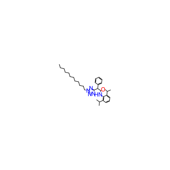 CCCCCCCCCCCCn1nnc(C(C(=O)Nc2c(C(C)C)cccc2C(C)C)c2ccccc2)n1